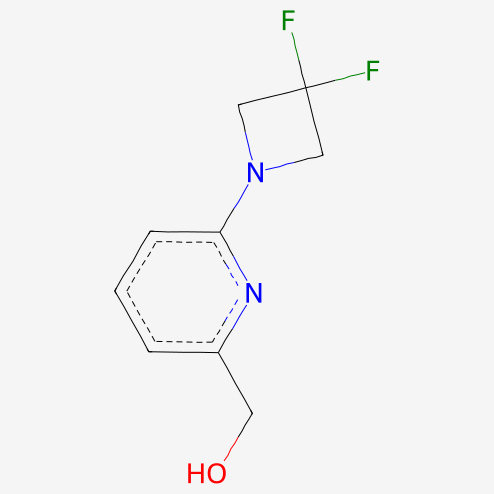 OCc1cccc(N2CC(F)(F)C2)n1